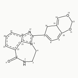 O=C1NCCn2c(C3=CC=C4OCOC=C4C3)nc3cccc1c32